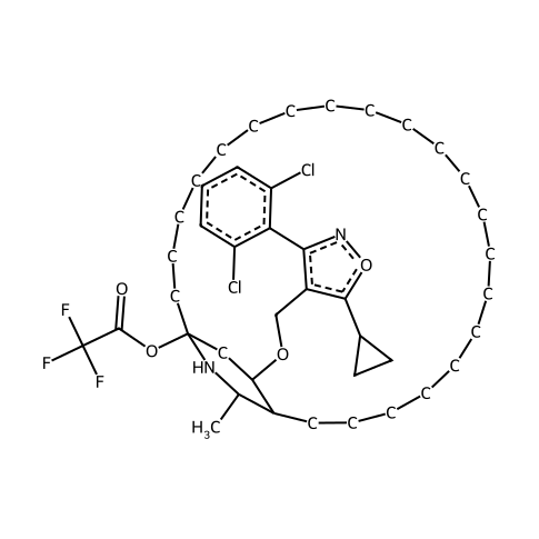 CC1NC2(OC(=O)C(F)(F)F)CCCCCCCCCCCCCCCCCCCCCC1C(OCc1c(-c3c(Cl)cccc3Cl)noc1C1CC1)C2